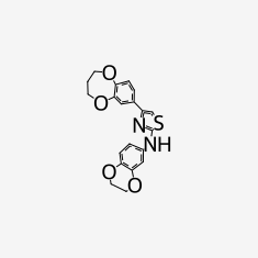 c1cc2c(cc1Nc1nc(-c3ccc4c(c3)OCCCO4)cs1)OCCO2